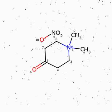 C[N+]1(C)CCC(=O)CC1.O=[N+]([O-])[O-]